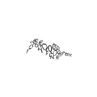 CCCCCC(Oc1cc2nccc(Oc3ccc(NC(=O)c4cn(C(C)C)c(=O)n(-c5ccc(F)cc5)c4=O)cc3F)c2c2c1OCCO2)N(C)C